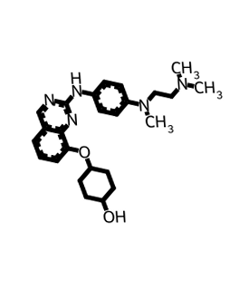 CN(C)CCN(C)c1ccc(Nc2ncc3cccc(OC4CCC(O)CC4)c3n2)cc1